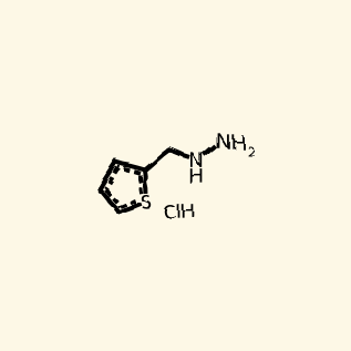 Cl.NNCc1cccs1